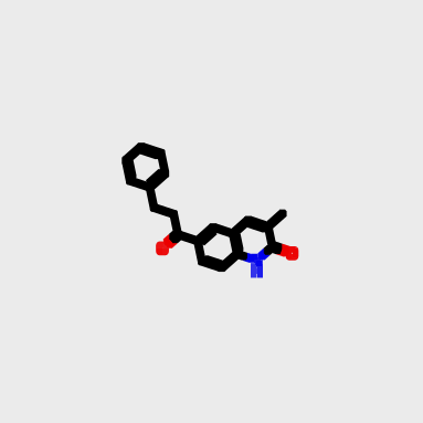 Cc1cc2cc(C(=O)CCc3ccccc3)ccc2[nH]c1=O